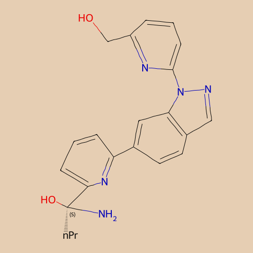 CCC[C@](N)(O)c1cccc(-c2ccc3cnn(-c4cccc(CO)n4)c3c2)n1